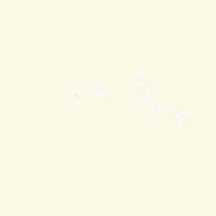 N=C(/C=C\C1=NCC(c2cccc(N3CCC(CCO)CC3)n2)N1)N1CCOCC1c1cccc(F)c1